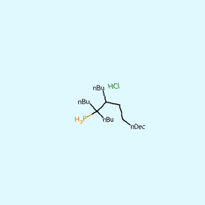 CCCCCCCCCCCCC(CCCC)C(P)(CCCC)CCCC.Cl